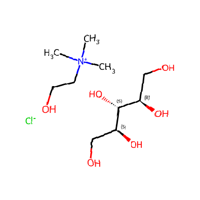 C[N+](C)(C)CCO.OC[C@@H](O)[C@@H](O)[C@@H](O)CO.[Cl-]